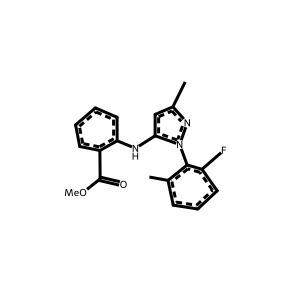 COC(=O)c1ccccc1Nc1cc(C)nn1-c1c(C)cccc1F